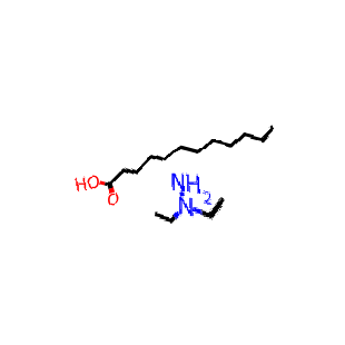 CCCCCCCCCCCC(=O)O.CCN(N)CC